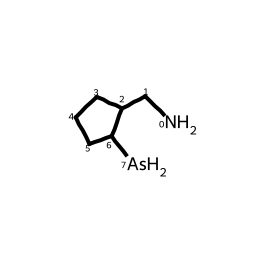 NCC1CCCC1[AsH2]